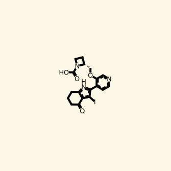 O=C1CCCc2[nH]c(-c3ccncc3OC[C@H]3CCN3C(=O)O)c(I)c21